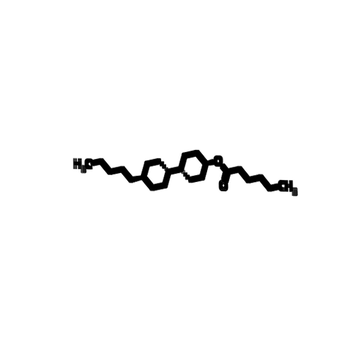 CCCCCC(=O)O[C@H]1CC[C@H]([C@H]2CC[C@H](CCCCC)CC2)CC1